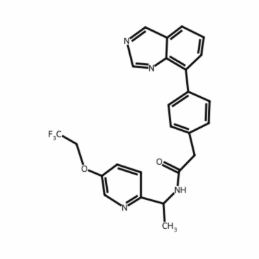 CC(NC(=O)Cc1ccc(-c2cccc3cncnc23)cc1)c1ccc(OCC(F)(F)F)cn1